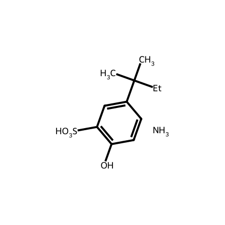 CCC(C)(C)c1ccc(O)c(S(=O)(=O)O)c1.N